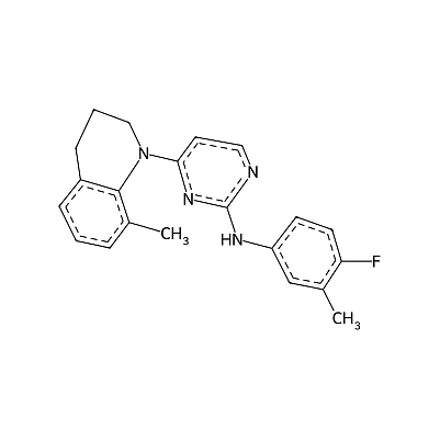 Cc1cc(Nc2nccc(N3CCCc4cccc(C)c43)n2)ccc1F